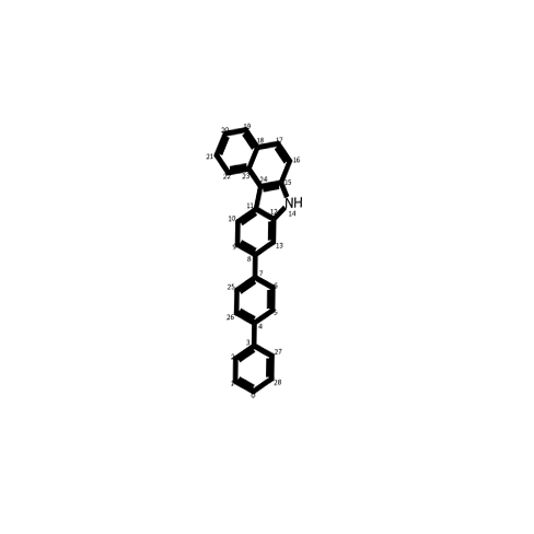 c1ccc(-c2ccc(-c3ccc4c(c3)[nH]c3ccc5ccccc5c34)cc2)cc1